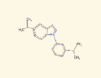 CC(C)c1cccc(-n2ccc3cc(C(C)C)ccc32)c1